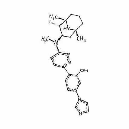 CN(c1ccc(-c2ccc(-n3ccnc3)cc2O)nn1)[C@@H]1C[C@@]2(C)CCC[C@](C)(N2)[C@H]1F